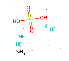 F.F.F.F.O=S(=O)(O)O.[SiH4]